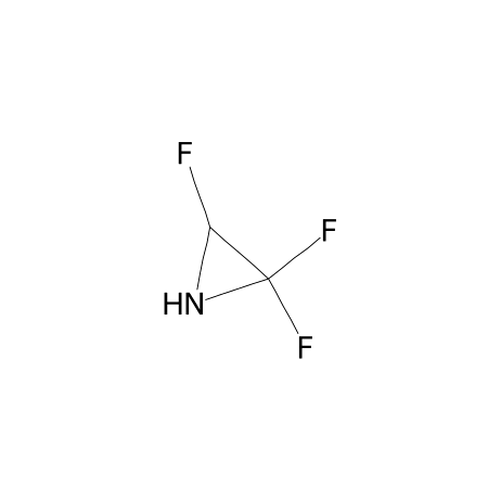 FC1NC1(F)F